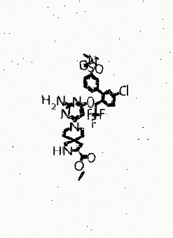 CCOC(=O)[C@@H]1CC2(CCN(c3cc(O[C@H](c4ccc(Cl)cc4-c4cccc(S(=O)(=O)N(C)C)c4)C(F)(F)F)nc(N)n3)CC2)CN1